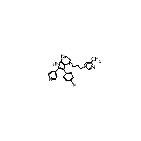 Cc1cn(CCCN2CC=Nc3[nH]c(-c4ccncc4)c(-c4ccc(F)cc4)c32)cn1